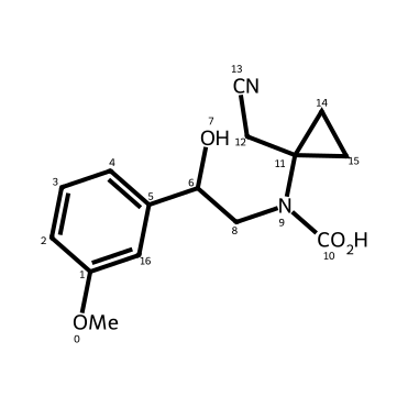 COc1cccc(C(O)CN(C(=O)O)C2(CC#N)CC2)c1